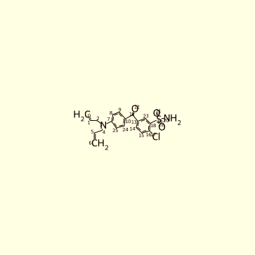 C=CCN(CC=C)c1ccc(C(=O)c2ccc(Cl)c(S(N)(=O)=O)c2)cc1